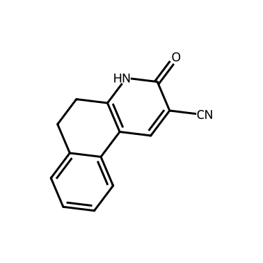 N#Cc1cc2c([nH]c1=O)CCc1ccccc1-2